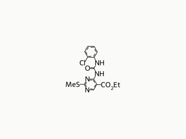 CCOC(=O)c1cnc(SC)nc1NC(=O)Nc1ccccc1Cl